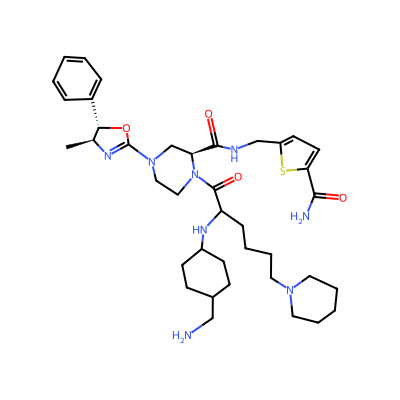 C[C@@H]1N=C(N2CCN(C(=O)C(CCCCN3CCCCC3)NC3CCC(CN)CC3)[C@H](C(=O)NCc3ccc(C(N)=O)s3)C2)O[C@H]1c1ccccc1